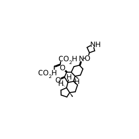 C[C@@]12CCC[C@H]1[C@@H]1C(=O)C(=O)C3CC(=NOC4CNC4)CC[C@]3(C)[C@H]1CC2.O=C(O)/C=C/C(=O)O